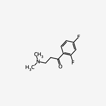 CN(C)CCC(=O)c1ccc(F)cc1F